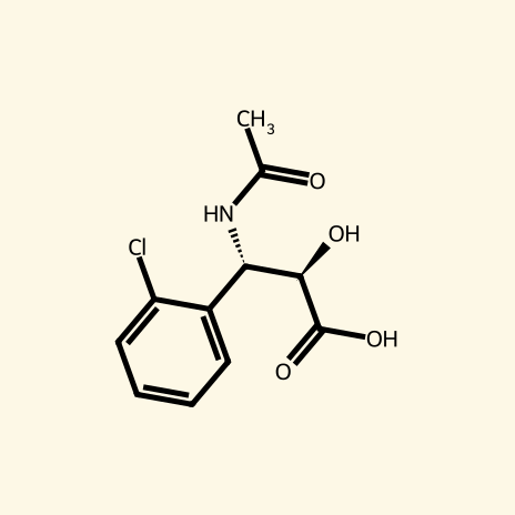 CC(=O)N[C@@H](c1ccccc1Cl)[C@@H](O)C(=O)O